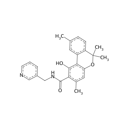 Cc1ccc2c(c1)-c1c(cc(C)c(C(=O)NCc3cccnc3)c1O)OC2(C)C